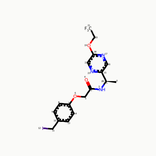 C[C@@H](NC(=O)COc1ccc(CI)cc1)c1cnc(OCC(F)(F)F)cn1